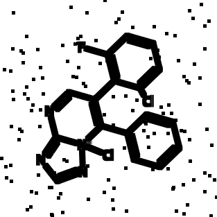 Fc1cccc(Cl)c1C1=C(c2ccccc2)[N+]2(Cl)N=CN=C2N=C1